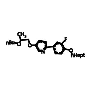 CCCCCCCOc1ccc(-c2ccc(OCC(C)OCCCC)cn2)cc1F